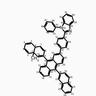 CC12C=CC=CC1C=CC(c1c3ccccc3c(-c3ccc4ccccc4c3)c3ccc(-c4ccc(-c5nc6ccccc6n5-c5ccccc5)cc4)cc13)=C2